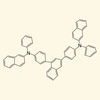 c1ccc(N(c2ccc(-c3cc(-c4ccc(N(c5ccccc5)c5ccc6ccccc6c5)cc4)c4ccccc4c3)cc2)c2ccc3ccccc3c2)cc1